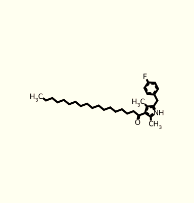 CCCCCCCCCCCCCCCCCC(=O)c1c(C)[nH]c(Cc2ccc(F)cc2)c1C